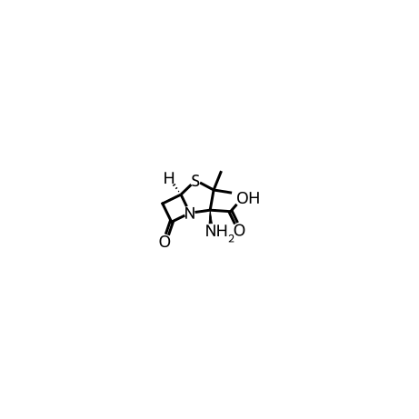 CC1(C)S[C@@H]2CC(=O)N2[C@@]1(N)C(=O)O